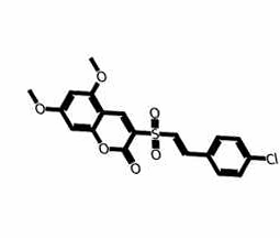 COc1cc(OC)c2cc(S(=O)(=O)/C=C/c3ccc(Cl)cc3)c(=O)oc2c1